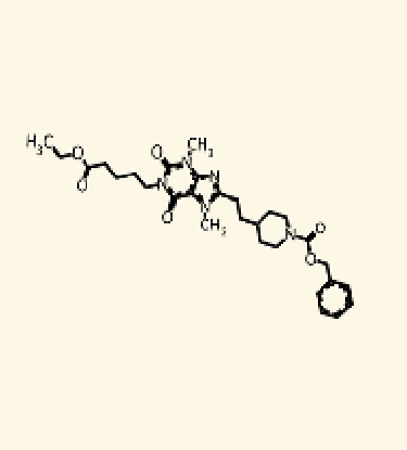 CCOC(=O)CCCCn1c(=O)c2c(nc(CCC3CCN(C(=O)OCc4ccccc4)CC3)n2C)n(C)c1=O